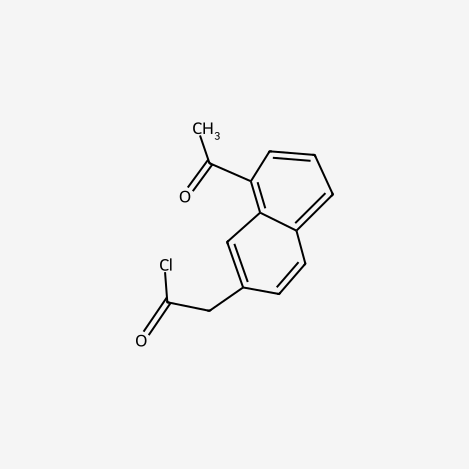 CC(=O)c1cccc2ccc(CC(=O)Cl)cc12